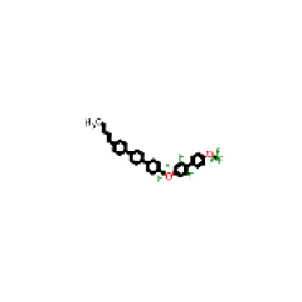 CCCCCC1CCC(C2CCC(C3CCC(C(F)(F)Oc4cc(F)c(-c5ccc(OC(F)(F)F)cc5)c(F)c4)CC3)CC2)CC1